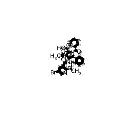 COc1ncc(Br)cc1CN[C@H]1[C@H](C(C)(C)C)[C@@H](C(=O)O)N(C(=O)[C@@H]2CCCCO2)[C@H]1c1ccccc1C